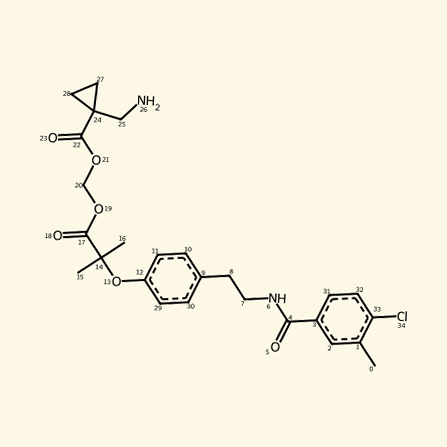 Cc1cc(C(=O)NCCc2ccc(OC(C)(C)C(=O)OCOC(=O)C3(CN)CC3)cc2)ccc1Cl